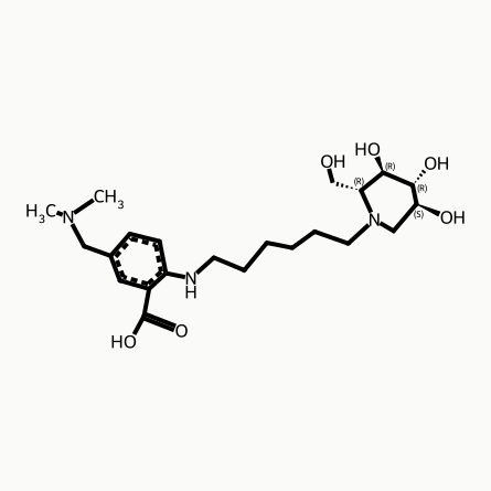 CN(C)Cc1ccc(NCCCCCCN2C[C@H](O)[C@@H](O)[C@H](O)[C@H]2CO)c(C(=O)O)c1